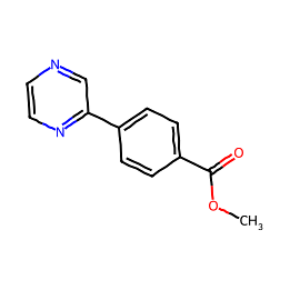 COC(=O)c1ccc(-c2cnccn2)cc1